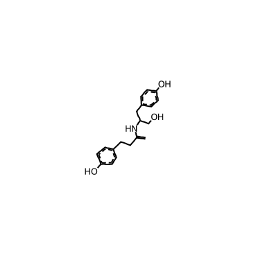 C=C(CCc1ccc(O)cc1)NC(CO)Cc1ccc(O)cc1